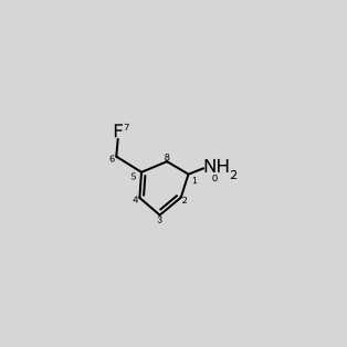 NC1C=CC=C(CF)C1